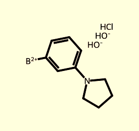 Cl.[B+2]c1cccc(N2CCCC2)c1.[OH-].[OH-]